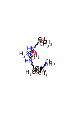 CNCCCC[Si](C)(C)O[Si](C)(C)CCCCNC(=O)C[N+](C)(C)CC(=O)NCCCC[Si](C)(C)OC